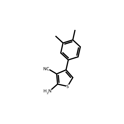 Cc1ccc(-c2csc(N)c2C#N)cc1C